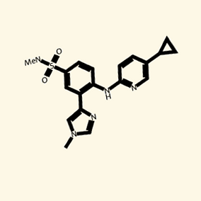 CNS(=O)(=O)c1ccc(Nc2ccc(C3CC3)cn2)c(-c2cn(C)cn2)c1